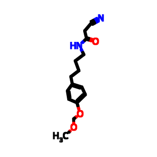 COCOc1ccc(CCCCNC(=O)CC#N)cc1